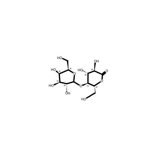 O=C1O[C@H](CO)[C@@H](OC2O[C@H](CO)[C@H](O)[C@H](O)[C@H]2O)[C@H](O)[C@H]1O